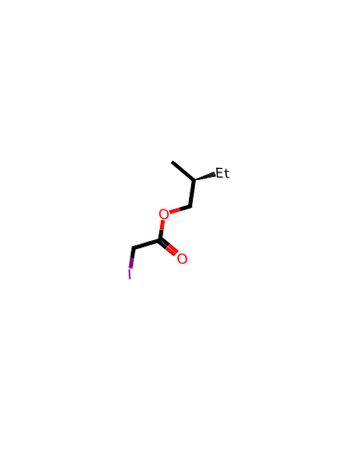 CC[C@H](C)COC(=O)CI